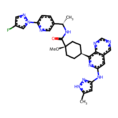 CO[C@]1(C(=O)N[C@@H](C)c2ccc(-n3cc(F)cn3)nc2)CC[C@H](c2nc(Nc3cc(C)[nH]n3)cc3cncnc32)CC1